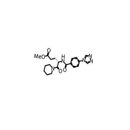 COC(=O)CC[C@H](NC(=O)c1ccc(-n2cnnc2)cc1)C(=O)N1CCCCC1